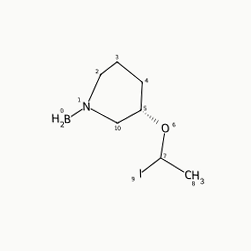 BN1CCC[C@H](OC(C)I)C1